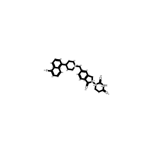 O=C1CCN(N2Cc3cc(CN4CCC(c5cccc6c(F)cccc56)CC4)ccc3C2=O)C(=O)N1